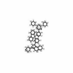 c1ccc(-c2nc(-c3ccccc3)nc(-c3ccc4c(c3)C3(c5ccccc5-c5ccccc53)c3cc(-c5cn(-c6ccncc6)c6ccc7ccccc7c56)ccc3-4)n2)cc1